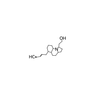 C#C/C=C/CC1CCCC2C1CCC1CCC(CCO)N12